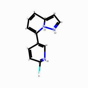 Fc1ccc(-c2cccc3ccnn23)cn1